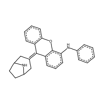 c1ccc(Nc2cccc3c2Oc2ccccc2C3=C2CC3CCC(C2)N3)cc1